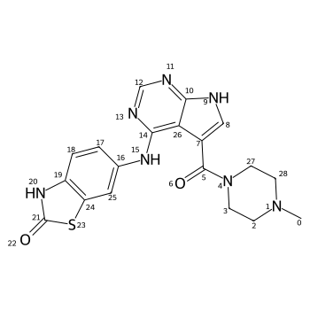 CN1CCN(C(=O)c2c[nH]c3ncnc(Nc4ccc5[nH]c(=O)sc5c4)c23)CC1